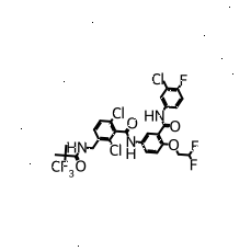 CC(C)(C(=O)NCc1ccc(Cl)c(C(=O)Nc2ccc(OCC(F)F)c(C(=O)Nc3ccc(F)c(Cl)c3)c2)c1Cl)C(F)(F)F